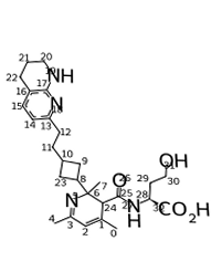 CC1=CC(C)=NC(C)(C2CC(CCc3ccc4c(n3)NCCC4)C2)C1C(=O)N[C@@H](CCO)C(=O)O